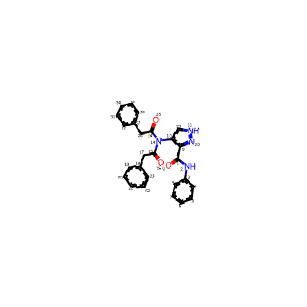 O=C(Nc1ccccc1)c1n[nH]cc1N(C(=O)Cc1ccccc1)C(=O)Cc1ccccc1